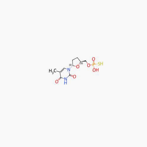 Cc1cn([C@@H]2CC[C@@H](COP(=O)(O)S)O2)c(=O)[nH]c1=O